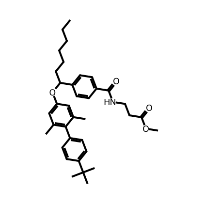 CCCCCCC(Oc1cc(C)c(-c2ccc(C(C)(C)C)cc2)c(C)c1)c1ccc(C(=O)NCCC(=O)OC)cc1